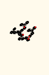 c1ccc(-c2cc(-c3cccc(-c4ccc(-n5c6ccccc6c6cc(-c7ccc8c9ccccc9n(-c9cccc(-c%10ccc%11c%12cc(-c%13ccc%14c%15ccccc%15n(-c%15ccccc%15)c%14c%13)ccc%12n(-c%12ccc(-c%13cccc(-c%14nc(-c%15ccccc%15)cc(-c%15ccccc%15)n%14)c%13)cc%12)c%11c%10)c9)c8c7)ccc65)cc4)c3)nc(-c3ccccc3)n2)cc1